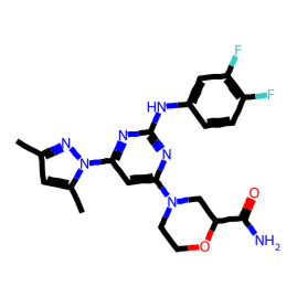 Cc1cc(C)n(-c2cc(N3CCOC(C(N)=O)C3)nc(Nc3ccc(F)c(F)c3)n2)n1